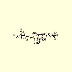 CC(C)(C)CCCCCCc1c(O)cc(CCCCC2(C)CC2)c(O)c1O